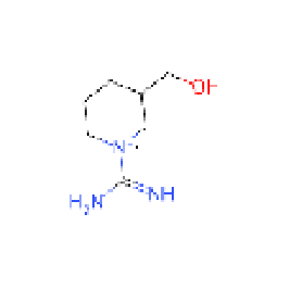 N=C(N)[N+]1CCCC(CO)C1